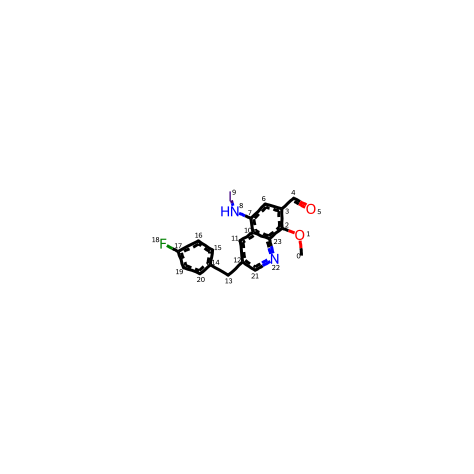 COc1c(C=O)cc(NI)c2cc(Cc3ccc(F)cc3)cnc12